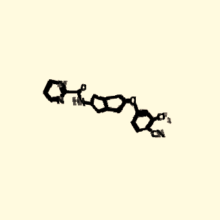 N#Cc1ccc(OC2CC3CC(NC(=O)c4ncccn4)CC3C2)cc1C(F)(F)F